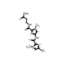 COC(=O)CCNC(=O)c1nc(NC(=O)c2nc(N)cn2C)cn1C